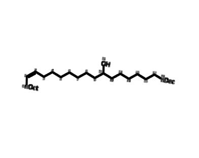 CCCCCCCC/C=C\CCCCCCCC(O)CCCCCCCCCCCCCCCC